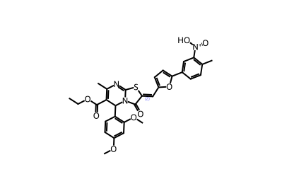 CCOC(=O)C1=C(C)N=c2s/c(=C\c3ccc(-c4ccc(C)c([N+](=O)O)c4)o3)c(=O)n2C1c1ccc(OC)cc1OC